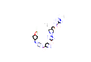 Cn1cc(C(=O)Nc2sc3c(c2C#N)CCN(c2ncc(Oc4ccc(C(=O)N5CCN(Cc6ccc(OC(F)F)cc6)CC5)cn4)cn2)C3)cn1